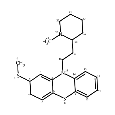 CSC1C=C2C(=CC1)Sc1ccccc1N2CCC1CCCCN1C